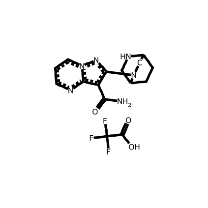 NC(=O)c1c(N2CC3CCC2CN3)nn2cccnc12.O=C(O)C(F)(F)F